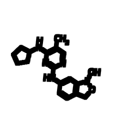 Cc1cnc(Nc2ccc3c(c2)B(O)OC3)nc1NC1CCCC1